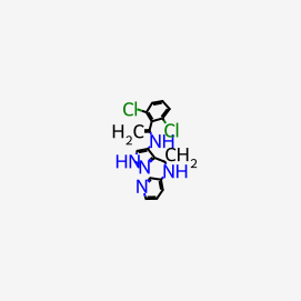 C=C(Nc1cccnc1)c1n[nH]cc1NC(=C)c1c(Cl)cccc1Cl